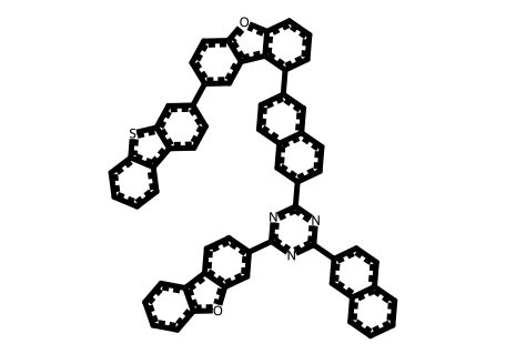 c1ccc2cc(-c3nc(-c4ccc5cc(-c6cccc7oc8ccc(-c9ccc%10c(c9)sc9ccccc9%10)cc8c67)ccc5c4)nc(-c4ccc5c(c4)oc4ccccc45)n3)ccc2c1